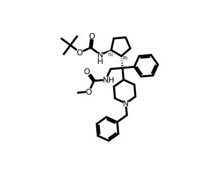 COC(=O)NCC(c1ccccc1)(C1CCN(Cc2ccccc2)CC1)[C@H]1CCC[C@@H]1NC(=O)OC(C)(C)C